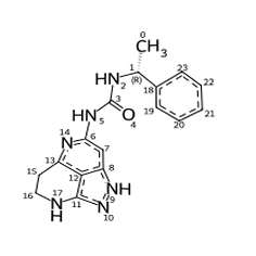 C[C@@H](NC(=O)Nc1cc2[nH]nc3c2c(n1)CCN3)c1ccccc1